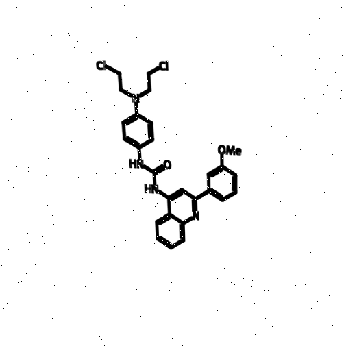 COc1cccc(-c2cc(NC(=O)Nc3ccc(N(CCCl)CCCl)cc3)c3ccccc3n2)c1